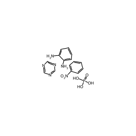 Nc1ccccc1N.O=P(O)(O)O.O=[N+]([O-])c1ccccc1.c1ncncn1